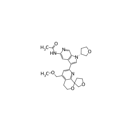 COCc1cc(-c2cn([C@@H]3CCOC3)c3cnc(NC(C)=O)cc23)nc2c1CCOC21CCOC1